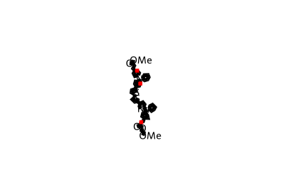 COCCOC(=O)CCc1ccc(N(c2ccccc2)c2ccc(-c3ccc(-c4ccc(-c5ccc(N(c6ccccc6)c6ccc(CCC(=O)OC)cc6)cc5)s4)s3)cn2)cc1